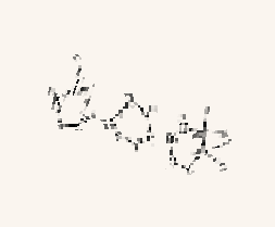 Cc1cc(-c2ccc(B3OCC(C)(C)C(C)(C)O3)cc2)ccn1